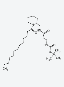 CCCCCCCCCCCCC(=O)N1CCCCC1CNC(=O)CCNC(=O)OC(C)(C)C